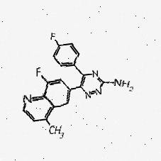 Cc1ccnc2c(F)cc(-c3nnc(N)nc3-c3ccc(F)cc3)cc12